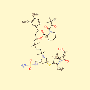 CCC(C)(C)C(=O)C(=O)N1CCCC[C@H]1C(=O)O[C@H](CCc1ccc(OC)c(OC)c1)CC(C)(C)CCC(C)(C)N1C[C@@H](SC2=C(C(=O)O)N3C(=O)[C@H]([C@@H](C)O)[C@H]3[C@H]2C)C[C@H]1CNS(N)(=O)=O